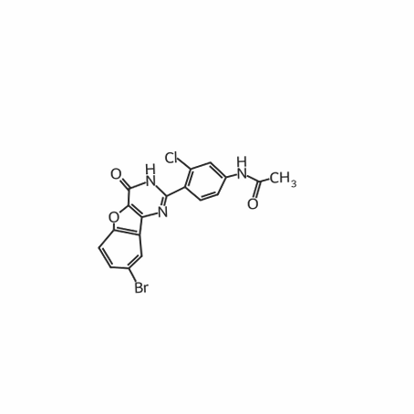 CC(=O)Nc1ccc(-c2nc3c(oc4ccc(Br)cc43)c(=O)[nH]2)c(Cl)c1